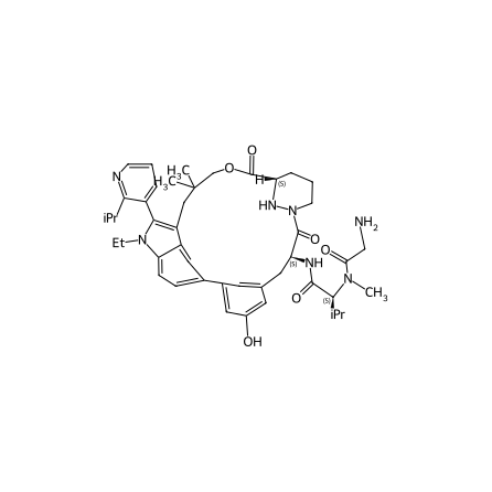 CCn1c(-c2cccnc2C(C)C)c2c3cc(ccc31)-c1cc(O)cc(c1)C[C@H](NC(=O)[C@H](C(C)C)N(C)C(=O)CN)C(=O)N1CCC[C@H](N1)C(=O)OCC(C)(C)C2